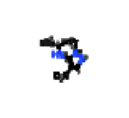 CCCC[C@H](CCC)Nc1c([N+](=O)[O-])cnn1C